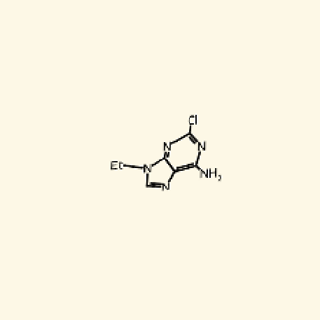 CCn1cnc2c(N)nc(Cl)nc21